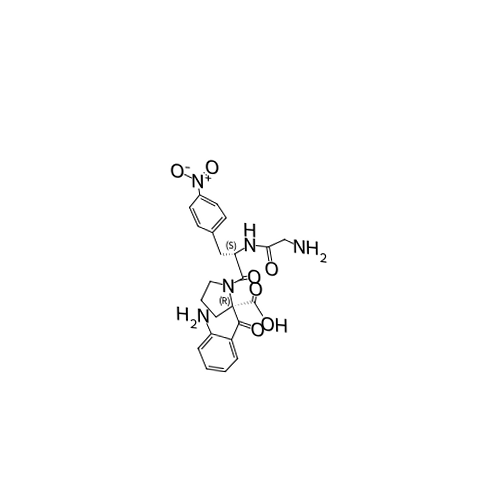 NCC(=O)N[C@@H](Cc1ccc([N+](=O)[O-])cc1)C(=O)N1CCC[C@]1(C(=O)O)C(=O)c1ccccc1N